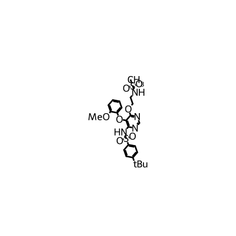 COc1ccccc1Oc1c(NS(=O)(=O)c2ccc(C(C)(C)C)cc2)ncnc1OCCNS(C)(=O)=O